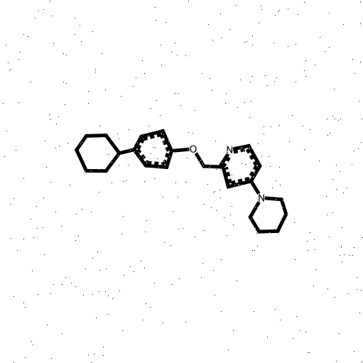 c1cc(N2CCCCC2)cc(COc2ccc(C3CCCCC3)cc2)n1